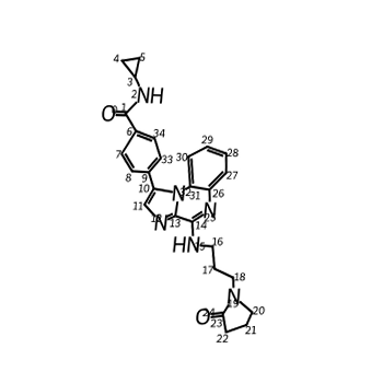 O=C(NC1CC1)c1ccc(-c2cnc3c(NCCCN4CCCC4=O)nc4ccccc4n23)cc1